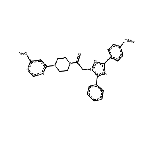 COc1ccc(-c2nc(-c3ccccc3)n(CC(=O)N3CCN(c4cc(OC)ncn4)CC3)n2)cc1